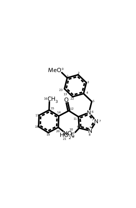 COc1ccc(Cn2nnc(C(=O)O)c2C(=O)c2c(C)cccc2[N+](=O)[O-])cc1